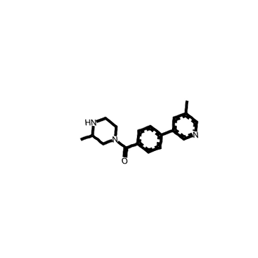 Cc1cncc(-c2ccc(C(=O)N3CCNC(C)C3)cc2)c1